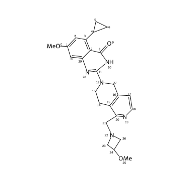 COc1cc(C2CC2)c2c(=O)[nH]c(N3CCc4c(ccnc4CN4CC(OC)C4)C3)nc2c1